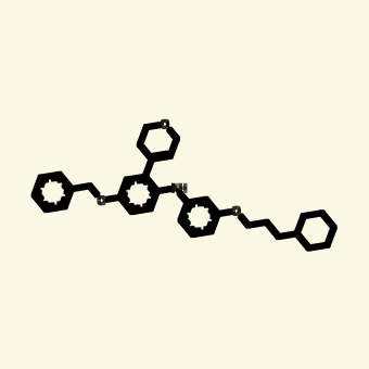 C1=C(c2cc(OCc3ccccc3)ccc2Nc2cccc(OCCCC3CCCCC3)c2)CCOC1